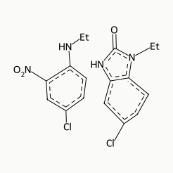 CCNc1ccc(Cl)cc1[N+](=O)[O-].CCn1c(=O)[nH]c2cc(Cl)ccc21